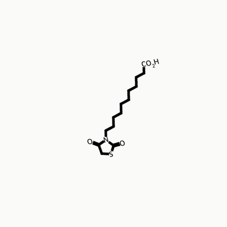 O=C(O)CCCCCCCCCCN1C(=O)CSC1=O